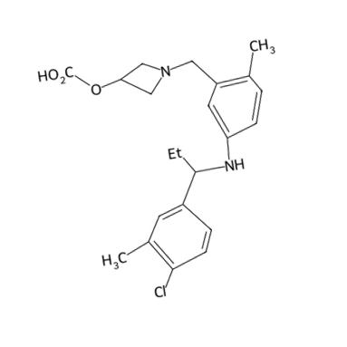 CCC(Nc1ccc(C)c(CN2CC(OC(=O)O)C2)c1)c1ccc(Cl)c(C)c1